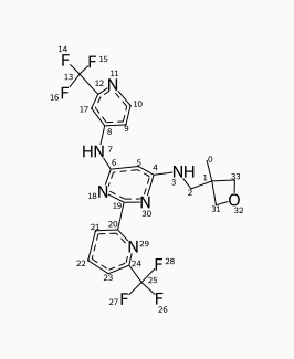 CC1(CNc2cc(Nc3ccnc(C(F)(F)F)c3)nc(-c3cccc(C(F)(F)F)n3)n2)COC1